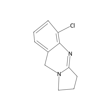 Clc1cccc2c1N=C1CCCN1C2